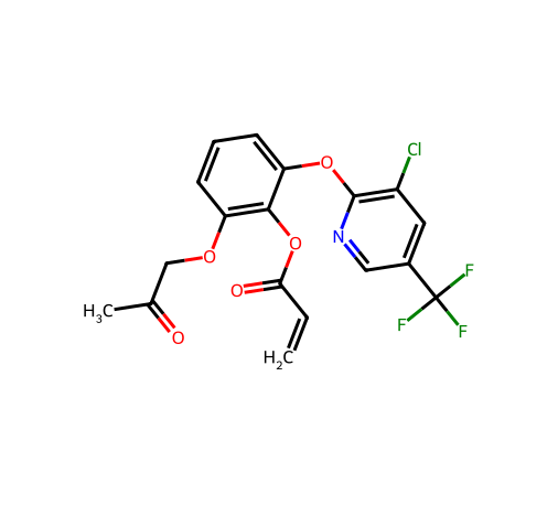 C=CC(=O)Oc1c(OCC(C)=O)cccc1Oc1ncc(C(F)(F)F)cc1Cl